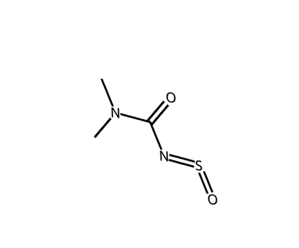 CN(C)C(=O)N=S=O